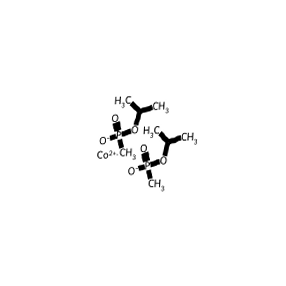 CC(C)OP(C)(=O)[O-].CC(C)OP(C)(=O)[O-].[Co+2]